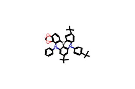 CC(C)(C)c1ccc(N2c3ccc(C(C)(C)C)cc3B3c4ccc5c(c4N(c4ccccc4)c4cc(C(C)(C)C)cc2c43)OCO5)cc1